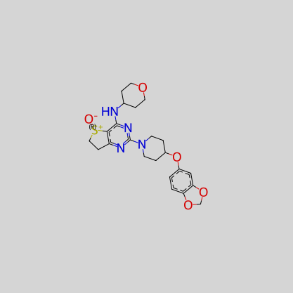 [O-][S@@+]1CCc2nc(N3CCC(Oc4ccc5c(c4)OCO5)CC3)nc(NC3CCOCC3)c21